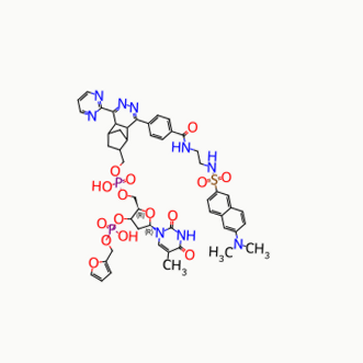 Cc1cn([C@H]2CC(OP(=O)(O)OCc3ccco3)[C@@H](COP(=O)(O)OCC3CC4CC3C3C(c5ccc(C(=O)NCCNS(=O)(=O)c6ccc7cc(N(C)C)ccc7c6)cc5)=NN=C(c5ncccn5)C43)O2)c(=O)[nH]c1=O